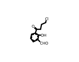 O=Cc1cccc(C(=O)CCCCl)c1O